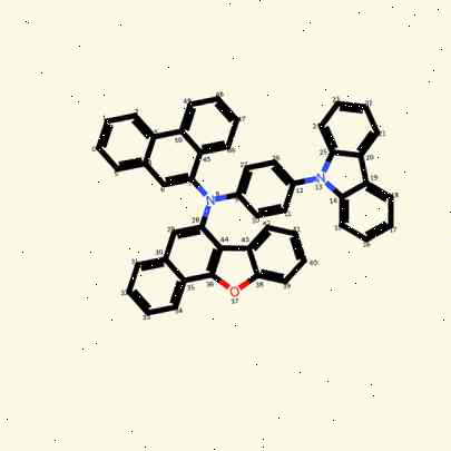 c1ccc2c(c1)cc(N(c1ccc(-n3c4ccccc4c4ccccc43)cc1)c1cc3ccccc3c3oc4ccccc4c13)c1ccccc12